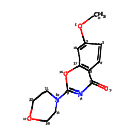 COc1ccc2c(=O)nc(N3CCOCC3)oc2c1